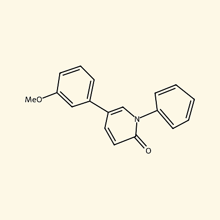 COc1cccc(-c2ccc(=O)n(-c3ccccc3)c2)c1